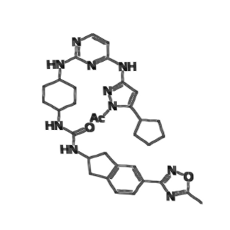 CC(=O)n1nc(Nc2ccnc(NC3CCC(NC(=O)NC4Cc5ccc(-c6noc(C)n6)cc5C4)CC3)n2)cc1C1CCCC1